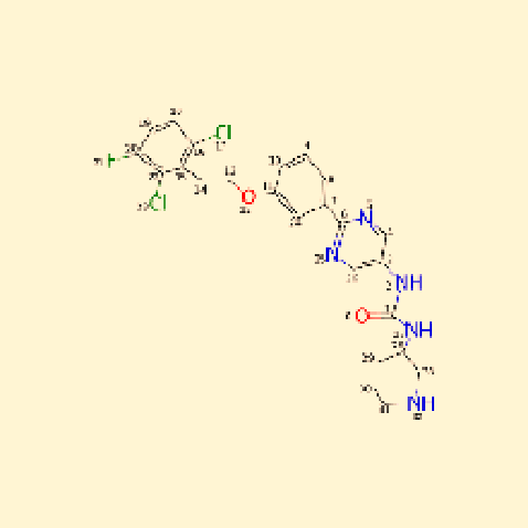 O=C(Nc1cnc(-c2cccc(OCCc3c(Cl)ccc(F)c3Cl)c2)nc1)NC1CCCNC1